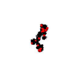 c1ccc(-c2cccc(N(c3ccc(-c4cccc5ccc6ccc7ccccc7c6c45)cc3)c3ccc4cc5sc6cc(-c7cc(-c8ccc(N(c9cccc(-c%10ccccc%10)c9)c9cccc%10cc%11sc%12ccccc%12c%11cc9%10)cc8)cc8c7ccc7ccc9ccccc9c78)ccc6c5cc4c3)c2)cc1